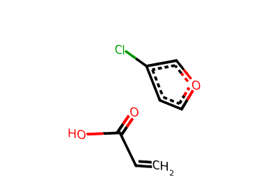 C=CC(=O)O.Clc1ccoc1